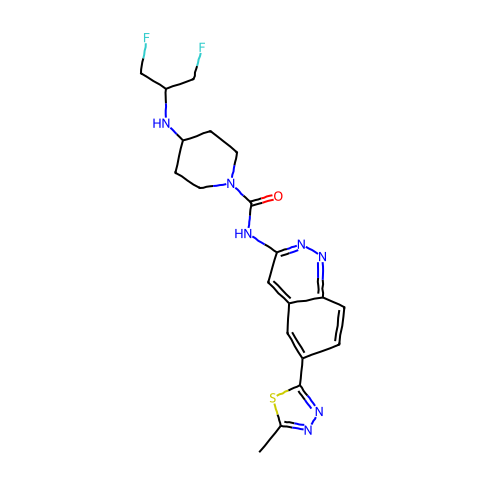 Cc1nnc(-c2ccc3nnc(NC(=O)N4CCC(NC(CF)CF)CC4)cc3c2)s1